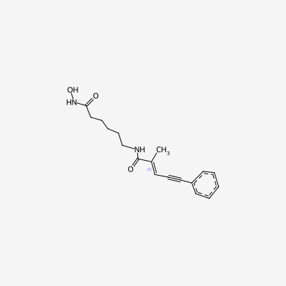 C/C(=C\C#Cc1ccccc1)C(=O)NCCCCCC(=O)NO